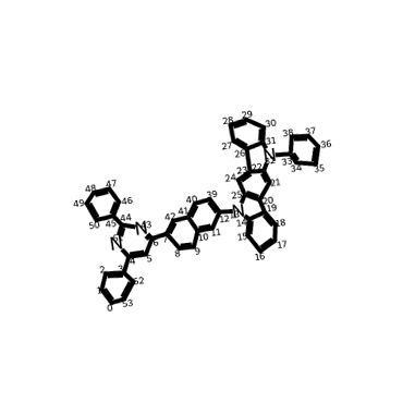 c1ccc(-c2cc(-c3ccc4cc(-n5c6ccccc6c6cc7c(cc65)c5ccccc5n7-c5ccccc5)ccc4c3)nc(-c3ccccc3)n2)cc1